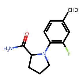 NC(=O)C1CCCN1c1ccc(C=O)cc1F